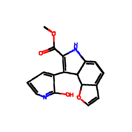 COC(=O)C1=C(c2cccnc2O)C2C(=CC=C3C=COC32)N1